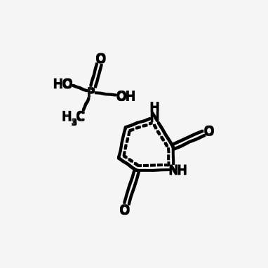 CP(=O)(O)O.O=c1cc[nH]c(=O)[nH]1